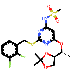 C[C@@H](Oc1cc(NS(C)(=O)=O)nc(SCc2cccc(F)c2F)n1)[C@H]1COC(C)(C)O1